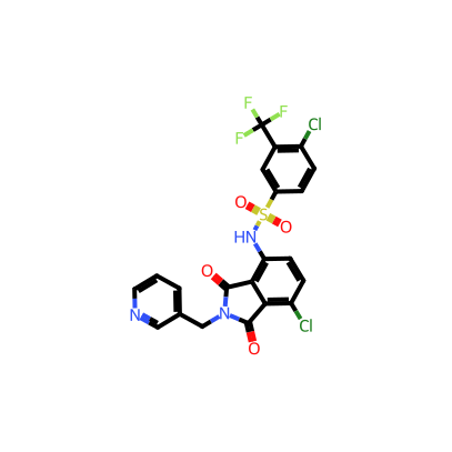 O=C1c2c(Cl)ccc(NS(=O)(=O)c3ccc(Cl)c(C(F)(F)F)c3)c2C(=O)N1Cc1cccnc1